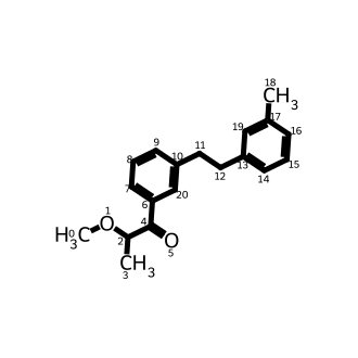 COC(C)C(=O)c1cccc(CCc2cccc(C)c2)c1